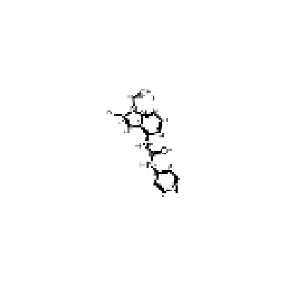 O=C(Nc1ccncc1)Nc1cccc2c1cc(I)n2CC(F)(F)F